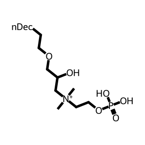 CCCCCCCCCCCCOCC(O)C[N+](C)(C)CCOP(=O)(O)O